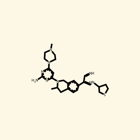 CC1Cc2ccc(/C(C=N)=C/NC3CCSC3)cc2CN1c1cc(N2CCN(C)CC2)nc(N)n1